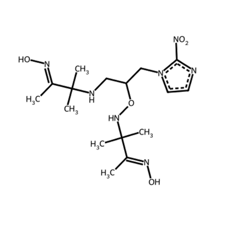 C/C(=N\O)C(C)(C)NCC(Cn1ccnc1[N+](=O)[O-])ONC(C)(C)/C(C)=N/O